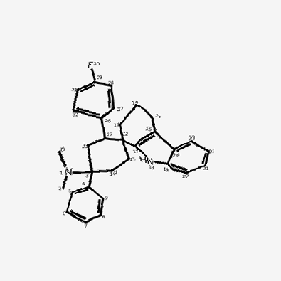 CN(C)C1(c2ccccc2)CCC2(CCCc3c2[nH]c2ccccc32)C(c2ccc(F)cc2)C1